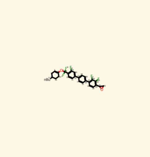 CCCCC1CC=C(OC(F)(F)c2ccc(-c3ccc(-c4ccc(C5CO5)c(F)c4F)cc3)cc2F)CC1